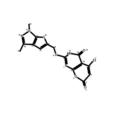 CCc1cc(=O)oc2nc(OCc3cc4c(C)nn(C)c4s3)[nH]c(=O)c12